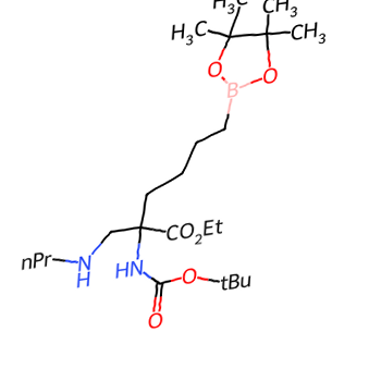 CCCNCC(CCCCB1OC(C)(C)C(C)(C)O1)(NC(=O)OC(C)(C)C)C(=O)OCC